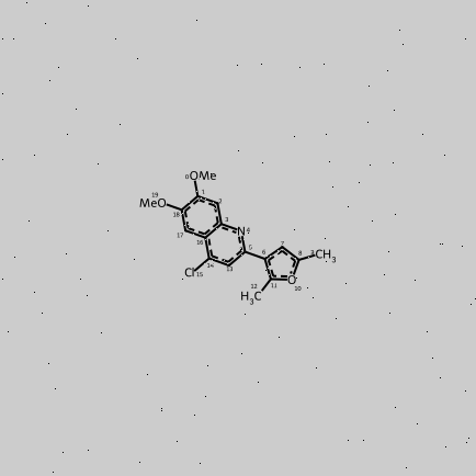 COc1cc2nc(-c3cc(C)oc3C)cc(Cl)c2cc1OC